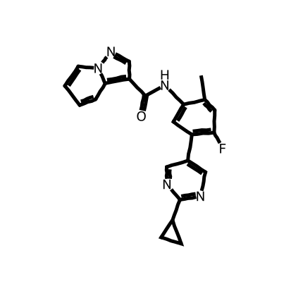 Cc1cc(F)c(-c2cnc(C3CC3)nc2)cc1NC(=O)c1cnn2ccccc12